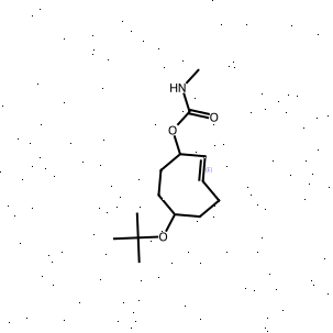 CNC(=O)OC1/C=C/CCC(OC(C)(C)C)CC1